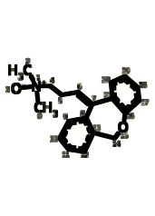 C[N+](C)([O-])CC/C=C1\c2ccccc2COc2ccccc21